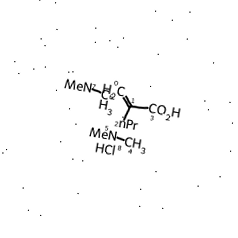 C=C(CCC)C(=O)O.CNC.CNC.Cl